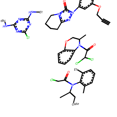 C#CCOc1cc(-n2nc3n(c2=O)CCCC3)c(Cl)cc1Cl.CC1COc2ccccc2N1C(=O)C(Cl)Cl.CCNc1nc(Cl)nc(NC(C)(C)C)n1.CCc1cccc(C)c1N(C(=O)CCl)C(C)COC